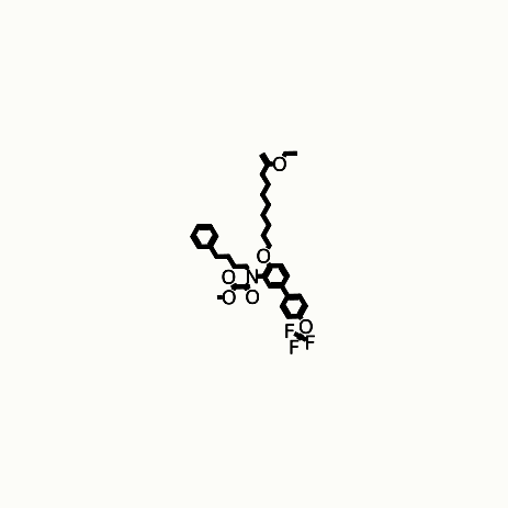 C=C(CCCCCCCCOc1ccc(-c2ccc(OC(F)(F)F)cc2)cc1N(CCCCc1ccccc1)C(=O)C(=O)OC)OCC